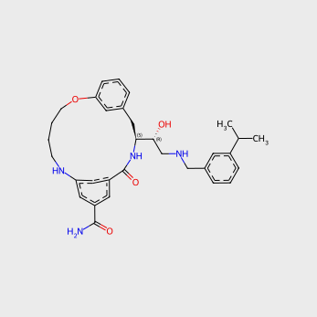 CC(C)c1cccc(CNC[C@@H](O)[C@@H]2Cc3cccc(c3)OCCCCNc3cc(C(N)=O)cc(c3)C(=O)N2)c1